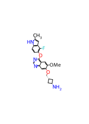 COc1cc2c(Oc3ccc4[nH]c(C)cc4c3F)ncnc2cc1OC[C@H]1C[C@@H](N)C1